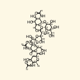 CC(=O)N[C@H]1C(O)[C@H](O)C(CO)O[C@H]1OC1C(O)[C@H](O)[C@@H](CO)O[C@@H]1OC[C@H](O)C(CO)O[C@@H](O[C@@H]1C(CO)O[C@@H](O[C@@H]2C(CO)O[C@@H](C)[C@@H](NC(C)=O)C2O)[C@@H](NC(C)=O)C1O)[C@@H](C)O